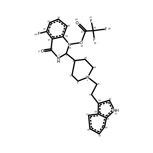 O=C1NC(C2CCN(CCc3c[nH]c4ccccc34)CC2)N(OC(=O)C(F)(F)F)c2cccc(F)c21